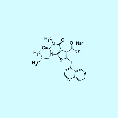 CC(C)Cn1c(=O)n(C)c(=O)c2c(C(=O)[O-])c(Cc3ccnc4ccccc34)sc21.[Na+]